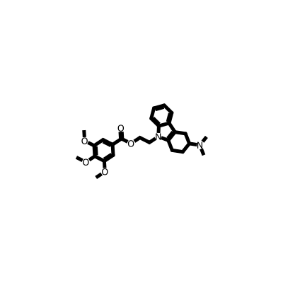 COc1cc(C(=O)OCCn2c3c(c4ccccc42)CC(N(C)C)CC3)cc(OC)c1OC